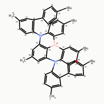 Cc1ccc(N2c3ccc(C(C)(C)C)cc3B3c4cc(C(C)(C)C)ccc4N(c4ccc(C)cc4-c4ccc(C(C)(C)C)cc4)c4cc(C)cc2c43)c(-c2ccc(C(C)(C)C)cc2)c1